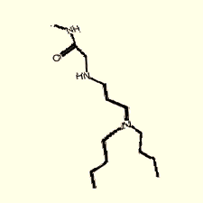 [CH2]NC(=O)CNCCCN(CCCC)CCCC